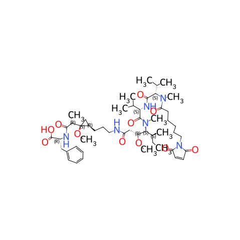 CC[C@H](C)[C@@H]([C@@H](CC(=O)NCCC[C@@H]1C[C@@]1(OC)[C@@H](C)C(=O)N[C@H](Cc1ccccc1)C(=O)O)OC)N(C)C(=O)[C@@H](NC(=O)[C@H](C(C)C)N(C)C(=O)CCCCCN1C(=O)C=CC1=O)C(C)C